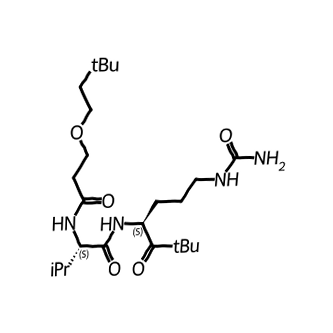 CC(C)[C@H](NC(=O)CCOCCC(C)(C)C)C(=O)N[C@@H](CCCNC(N)=O)C(=O)C(C)(C)C